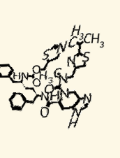 CC(C)C1=NC(CN(C)C(=O)N2Cc3nc[nH]c3C[C@H]2C(=O)N[C@H](CC[C@H](Cc2ccccc2)NC(=O)OCC2CN=CS2)Cc2ccccc2)CS1